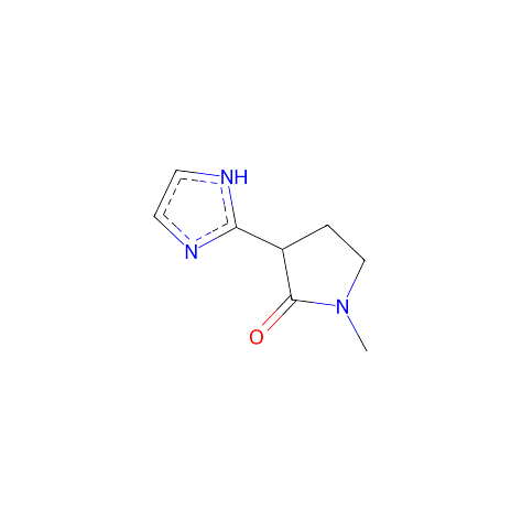 CN1CCC(c2ncc[nH]2)C1=O